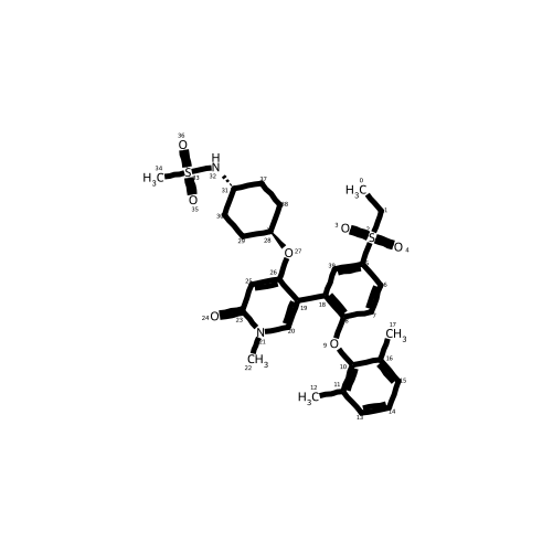 CCS(=O)(=O)c1ccc(Oc2c(C)cccc2C)c(-c2cn(C)c(=O)cc2O[C@H]2CC[C@H](NS(C)(=O)=O)CC2)c1